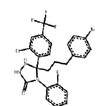 O=C1NNC(CCCc2ccc(Br)cc2)(c2ccc(C(F)(F)F)cc2Cl)N1c1ccccc1F